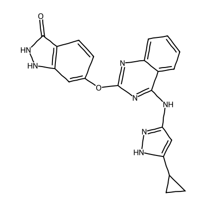 O=c1[nH][nH]c2cc(Oc3nc(Nc4cc(C5CC5)[nH]n4)c4ccccc4n3)ccc12